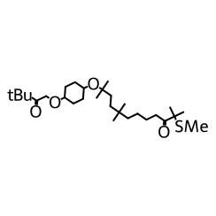 CSC(C)(C)C(=O)CCCCC(C)(C)CCC(C)(C)OC1CCC(OCC(=O)C(C)(C)C)CC1